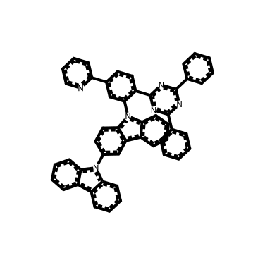 c1ccc(-c2nc(-c3ccccc3)nc(-c3ccc(-c4ccccn4)cc3-n3c4ccccc4c4cc(-n5c6ccccc6c6ccccc65)ccc43)n2)cc1